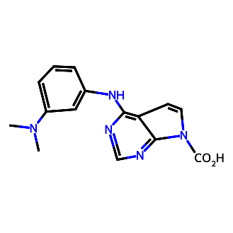 CN(C)c1cccc(Nc2ncnc3c2ccn3C(=O)O)c1